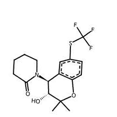 CC1(C)Oc2ccc(SC(F)(F)F)cc2[C@H](N2CCCCC2=O)[C@H]1O